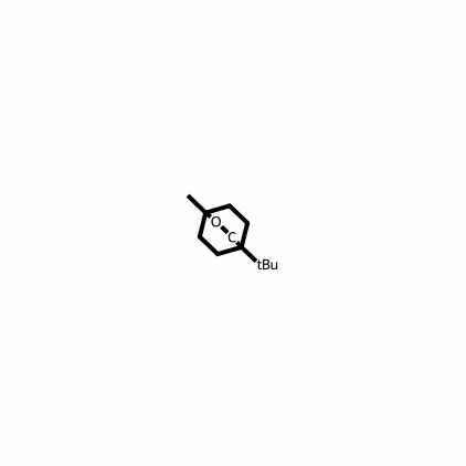 CC12CCC(C(C)(C)C)(CC1)CO2